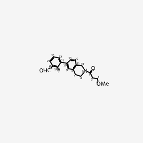 COCCC(=O)N1CCc2cc(-c3cccc(C=O)c3F)ccc2C1